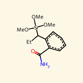 CCC(c1ccccc1C(N)=O)[Si](OC)(OC)OC